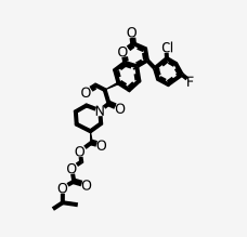 CC(C)OC(=O)OCOC(=O)[C@H]1CCCN(C(=O)[C@@H](C=O)c2ccc3c(-c4ccc(F)cc4Cl)cc(=O)oc3c2)C1